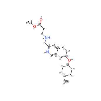 CC(C)(C)OC(=O)CCNCc1cc2ccc(OC3CCC(C(C)(C)C)CC3)cc2cn1